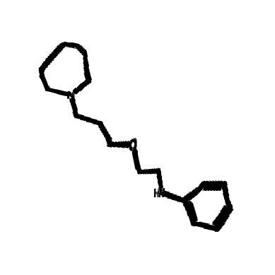 c1ccc(NCCOCCCN2CCCCC2)cc1